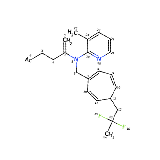 C=C(CCC(C)=O)N(CC1=CC=CC(CC(C)(F)F)C=C1)c1ncccc1C